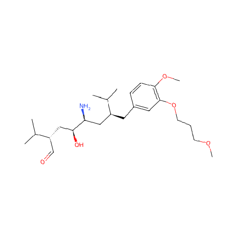 COCCCOc1cc(C[C@@H](C[C@H](N)[C@@H](O)C[C@H](C=O)C(C)C)C(C)C)ccc1OC